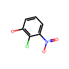 [O]c1cccc([N+](=O)[O-])c1Cl